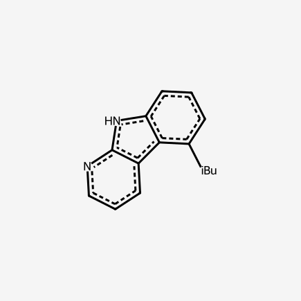 CCC(C)c1cccc2[nH]c3ncccc3c12